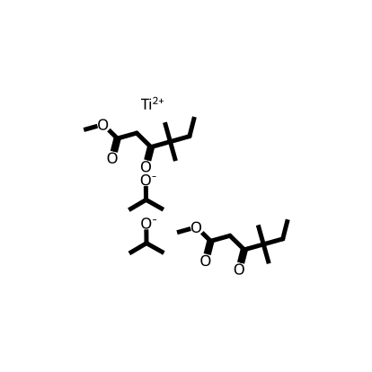 CC(C)[O-].CC(C)[O-].CCC(C)(C)C(=O)CC(=O)OC.CCC(C)(C)C(=O)CC(=O)OC.[Ti+2]